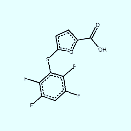 O=C(O)c1ccc(Sc2c(F)c(F)cc(F)c2F)o1